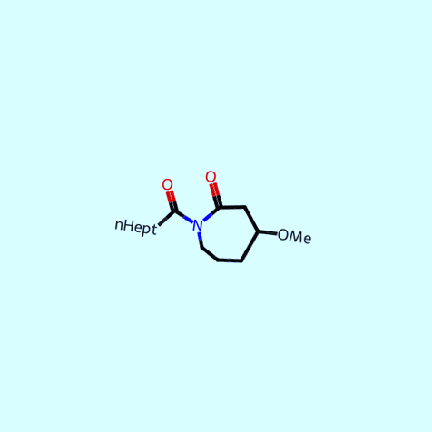 CCCCCCCC(=O)N1CCCC(OC)CC1=O